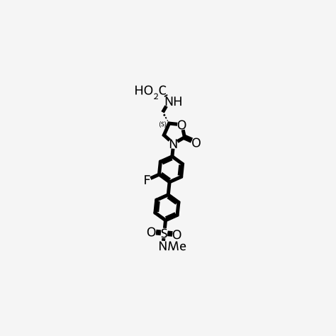 CNS(=O)(=O)c1ccc(-c2ccc(N3C[C@H](CNC(=O)O)OC3=O)cc2F)cc1